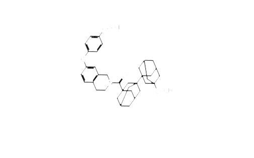 O=C(O)c1ccc(Oc2ccc3c(c2)CN(C(=O)C24CC5CC(C2)CC(C26CC7CC(CC(C(=O)O)(C7)C2)C6)(C5)C4)CC3)cc1